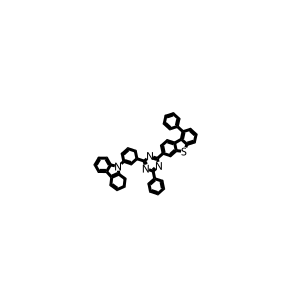 C1=Cc2c(n(C3=CC(c4nc(-c5ccccc5)nc(-c5ccc6c(c5)sc5cccc(-c7ccccc7)c56)n4)CC=C3)c3ccccc23)CC1